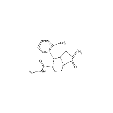 C=C1CC2C(c3ccccc3C)N(C(=O)NC)CCN2C1=O